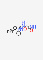 CCCc1cccc(-c2cc(NC(=O)CC3CNC(=O)C3)nn2C2CCCCCC2)c1